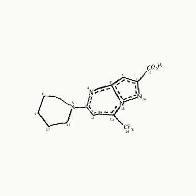 O=C(O)c1cc2nc(N3CCCCC3)cc(C(F)(F)F)n2n1